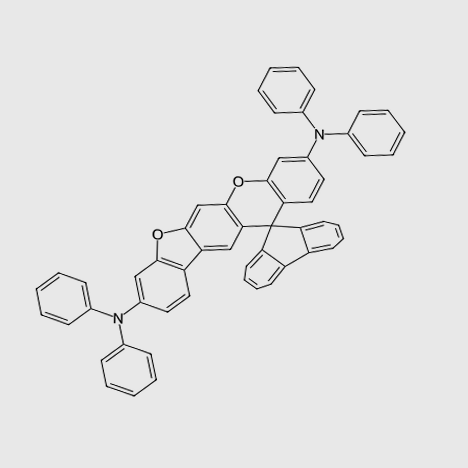 c1ccc(N(c2ccccc2)c2ccc3c(c2)Oc2cc4oc5cc(N(c6ccccc6)c6ccccc6)ccc5c4cc2C32c3ccccc3-c3ccccc32)cc1